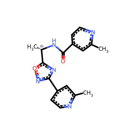 Cc1cc(C(=O)N[C@@H](C)c2nc(-c3ccnc(C)c3)no2)ccn1